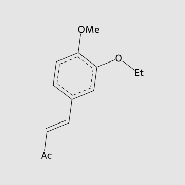 CCOc1cc(/C=C/C(C)=O)ccc1OC